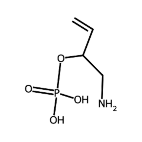 C=CC(CN)OP(=O)(O)O